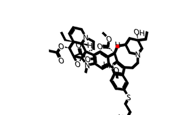 CC[C@]1(O)C[C@H]2CN(CCc3c([nH]c4ccc(SCCO)cc34)[C@@](C(=O)OC)(c3cc4c(cc3OC)N(C)[C@@]35O[C@]3(C(=O)OC)[C@H](OC(C)=O)[C@]3(CC)C=CCN6CC[C@]45[C@@H]63)C2)C1